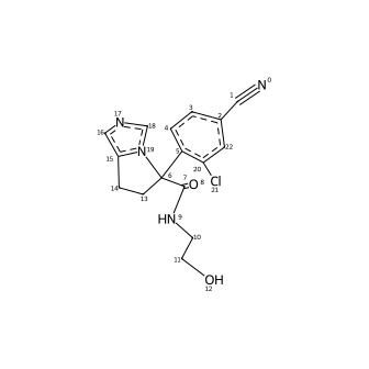 N#Cc1ccc(C2(C(=O)NCCO)CCc3cncn32)c(Cl)c1